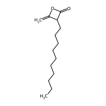 C=C1OC(=O)C1CCCCCCCCCC